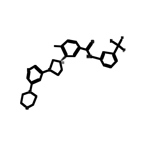 Cc1ccc(C(=O)Nc2cccc(C(F)(F)F)c2)cc1[C@@H]1CCN(c2cncc(N3CCOCC3)c2)C1